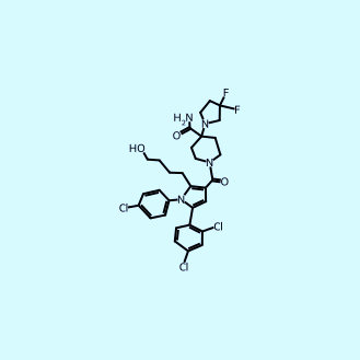 NC(=O)C1(N2CCC(F)(F)C2)CCN(C(=O)c2cc(-c3ccc(Cl)cc3Cl)n(-c3ccc(Cl)cc3)c2CCCCO)CC1